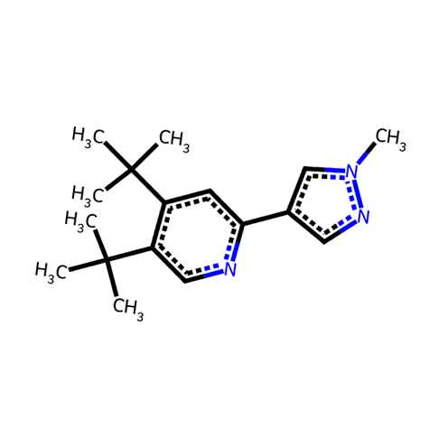 Cn1cc(-c2cc(C(C)(C)C)c(C(C)(C)C)cn2)cn1